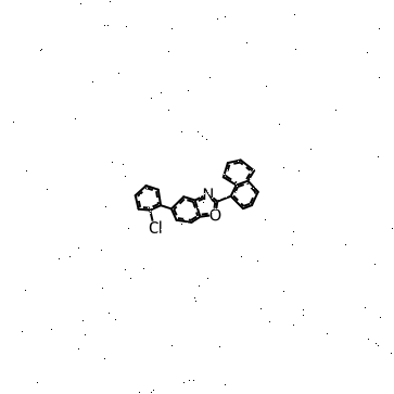 Clc1ccccc1-c1ccc2oc(-c3cccc4ccccc34)nc2c1